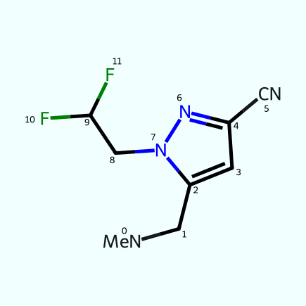 CNCc1cc(C#N)nn1CC(F)F